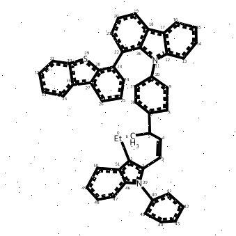 CCc1c(/C=C\C(C)c2ccc(-n3c4ccccc4c4cccc(-c5cccc6c5sc5ccccc56)c43)cc2)n(-c2ccccc2)c2ccccc12